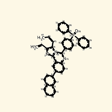 C=Cc1nc2c3cc(-c4ccc5ccccc5c4)ccc3nc(-c3ccc(P(=O)(c4ccccc4)c4ccccc4)cc3)n2c1/C=C\C